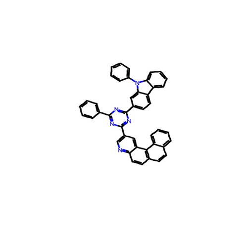 c1ccc(-c2nc(-c3cnc4ccc5ccc6ccccc6c5c4c3)nc(-c3ccc4c5ccccc5n(-c5ccccc5)c4c3)n2)cc1